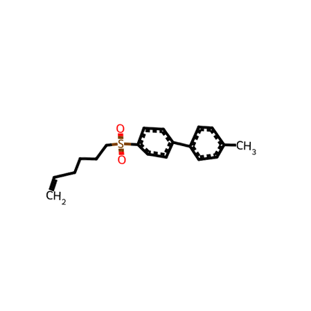 C=CCCCCS(=O)(=O)c1ccc(-c2ccc(C)cc2)cc1